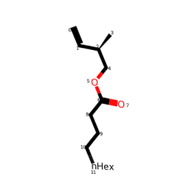 C=C[C@@H](C)COC(=O)CCCCCCCCC